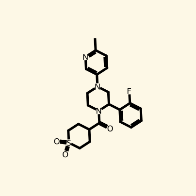 Cc1ccc(N2CCN(C(=O)C3CCS(=O)(=O)CC3)C(c3ccccc3F)C2)cn1